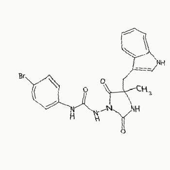 CC1(Cc2c[nH]c3ccccc23)NC(=O)N(NC(=O)Nc2ccc(Br)cc2)C1=O